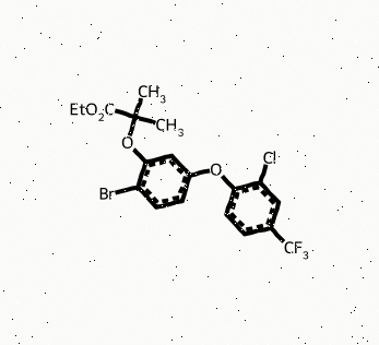 CCOC(=O)C(C)(C)Oc1cc(Oc2ccc(C(F)(F)F)cc2Cl)ccc1Br